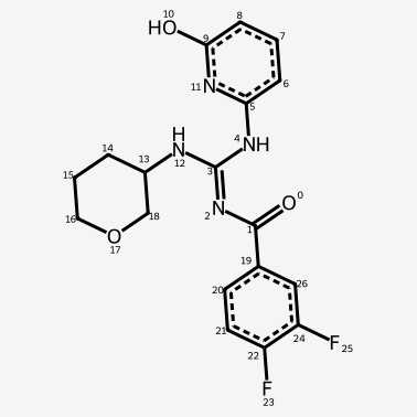 O=C(/N=C(\Nc1cccc(O)n1)NC1CCCOC1)c1ccc(F)c(F)c1